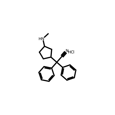 CNC1CCC(C(C#N)(c2ccccc2)c2ccccc2)C1.Cl